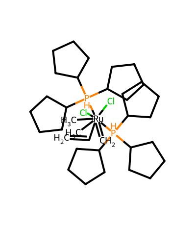 C=[CH][Ru](=[CH2])([CH3])([CH3])([Cl])([Cl])([PH](C1CCCC1)(C1CCCC1)C1CCCC1)[PH](C1CCCC1)(C1CCCC1)C1CCCC1